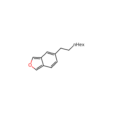 CCCCCCCCc1ccc2cocc2c1